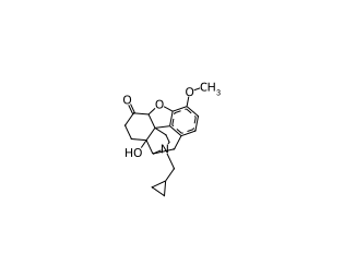 COc1ccc2c3c1OC1C(=O)CCC4(O)C(C2)N(CC2CC2)CCC314